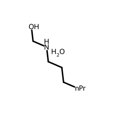 CCCCCCNCO.O